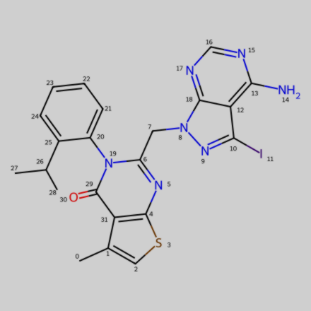 Cc1csc2nc(Cn3nc(I)c4c(N)ncnc43)n(-c3ccccc3C(C)C)c(=O)c12